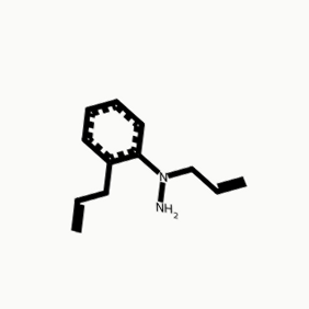 C=CCc1ccccc1N(N)CC=C